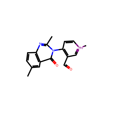 Cc1ccc2nc(C)n(C3=C(C=O)C=[PH](C)C=C3)c(=O)c2c1